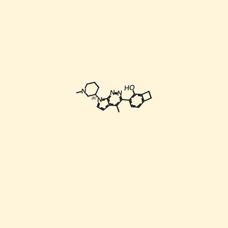 Cc1c(-c2ccc3c(c2O)CC3)nnc2c1ccn2[C@@H]1CCCN(C)C1